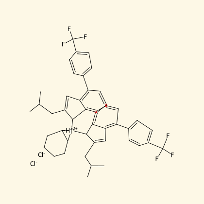 CC(C)CC1=Cc2c(-c3ccc(C(F)(F)F)cc3)cccc2[CH]1[Hf+2]1([CH]2C(CC(C)C)=Cc3c(-c4ccc(C(F)(F)F)cc4)cccc32)[CH]2CCCC[CH]21.[Cl-].[Cl-]